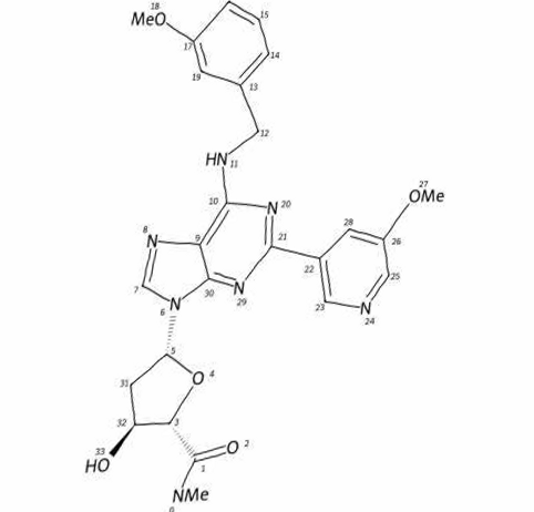 CNC(=O)[C@H]1O[C@@H](n2cnc3c(NCc4cccc(OC)c4)nc(-c4cncc(OC)c4)nc32)C[C@@H]1O